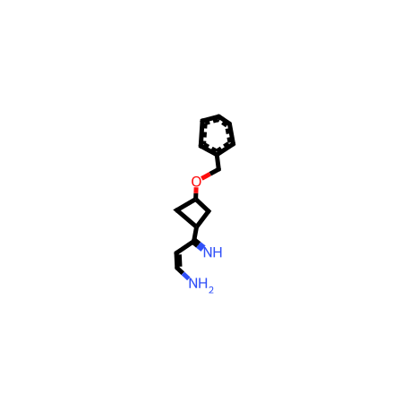 N=C(/C=C\N)C1CC(OCc2ccccc2)C1